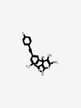 Cc1n[nH]c2c1C(c1cc(C#Cc3ccc(F)cc3)cc(C(F)(F)F)c1)(C(C)C)C(C#N)=C(N)O2